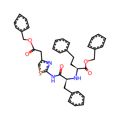 O=C(Cc1csc(NC(=O)[C@H](Cc2ccccc2)N[C@@H](CCc2ccccc2)C(=O)OCc2ccccc2)n1)OCc1ccccc1